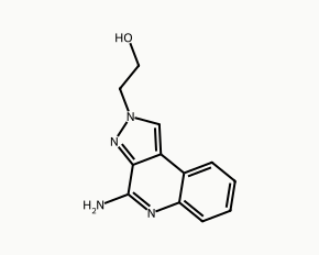 Nc1nc2ccccc2c2cn(CCO)nc12